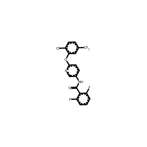 O=C(Nc1ccc(Oc2cc(C(F)(F)F)ccc2Cl)nc1)c1c(F)cccc1F